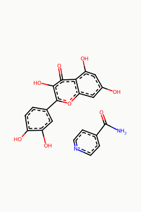 NC(=O)c1ccncc1.O=c1c(O)c(-c2ccc(O)c(O)c2)oc2cc(O)cc(O)c12